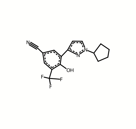 N#Cc1cc(-c2ccn(C3CCCC3)n2)c(O)c(C(F)(F)F)c1